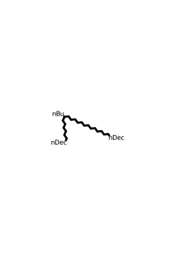 [CH2]CCCC(CCCCCCCCCCCCCCCC)CCCCCCCCCCCCCCCCCCCCCCC